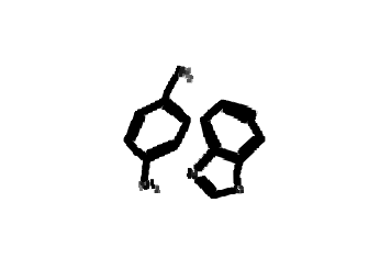 Nc1ccc(N)cc1.c1ccc2ocnc2c1